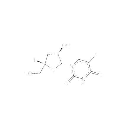 O=c1[nH]c(=O)n([C@@H]2O[C@](F)(CO)C[C@H]2O)cc1F